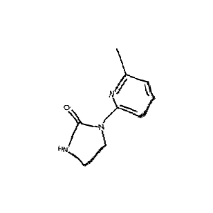 Cc1cccc(N2CCNC2=O)n1